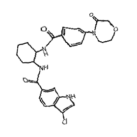 O=C(NC1CCCCC1NC(=O)c1ccc2c(Cl)c[nH]c2c1)c1ccc(N2CCOCC2=O)cc1